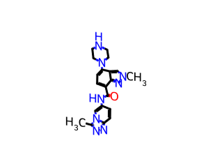 Cc1nnc2ccc(NC(=O)c3ccc(N4CCNCC4)c4cn(C)nc34)cn12